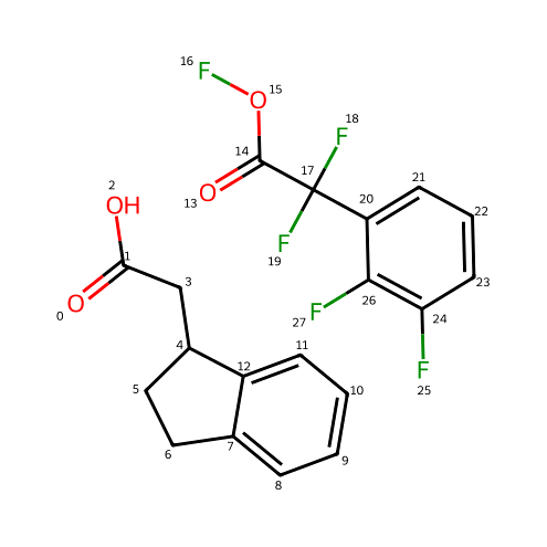 O=C(O)CC1CCc2ccccc21.O=C(OF)C(F)(F)c1cccc(F)c1F